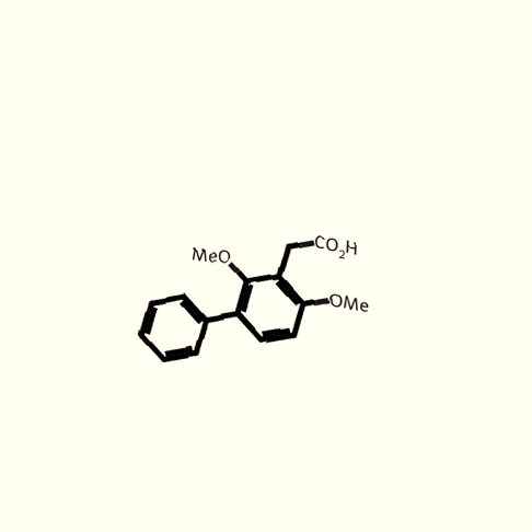 COc1ccc(-c2ccccc2)c(OC)c1CC(=O)O